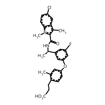 Cc1cc(Oc2cc(F)cc([C@@H](C)NC(=O)c3c(C)c4cc(Cl)ccc4n3C)c2)ccc1CCC(=O)O